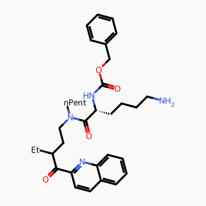 CCCCCN(CCC(CC)C(=O)c1ccc2ccccc2n1)C(=O)[C@@H](CCCCN)NC(=O)OCc1ccccc1